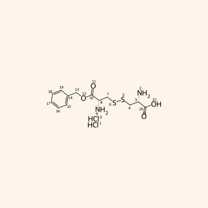 Cl.Cl.N[C@@H](CSSC[C@H](N)C(=O)OCc1ccccc1)C(=O)O